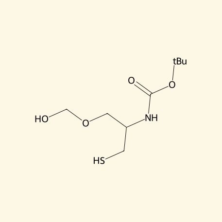 CC(C)(C)OC(=O)NC(CS)COCO